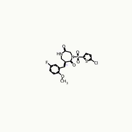 COc1ccc(F)cc1/C=C1\CNC(=O)CN(S(=O)(=O)c2ccc(Cl)s2)C1=O